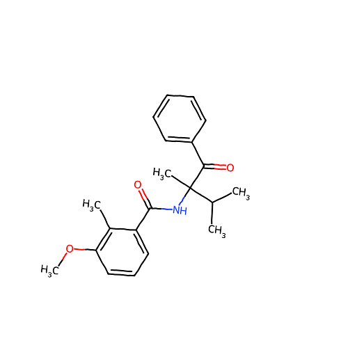 COc1cccc(C(=O)NC(C)(C(=O)c2ccccc2)C(C)C)c1C